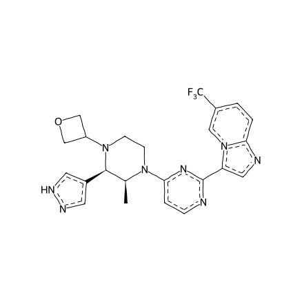 C[C@H]1[C@@H](c2cn[nH]c2)N(C2COC2)CCN1c1ccnc(-c2cnc3ccc(C(F)(F)F)cn23)n1